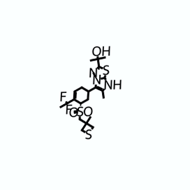 CC1=C(C2CC=C(C(C)(F)F)[C@@H](S(=O)(=O)CC3(C)CSC3)C2)N2N=C(C(C)(C)O)SC2N1